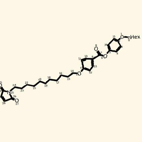 CCCCCCOc1ccc(OC(=O)c2ccc(OCCCCCCCCCCCN3C(=O)C=CC3=O)cc2)cc1